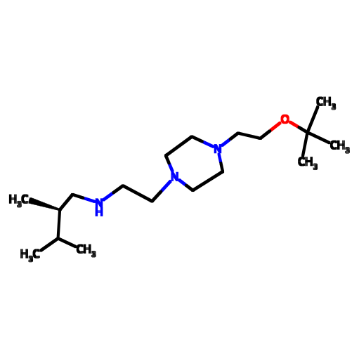 CC(C)[C@@H](C)CNCCN1CCN(CCOC(C)(C)C)CC1